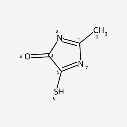 CC1=NC(=O)C(S)=N1